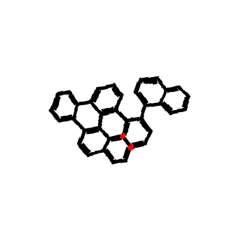 c1ccc(-c2cccc3c4ccccc4c4ccc5ccccc5c4c23)c(-c2cccc3ccccc23)c1